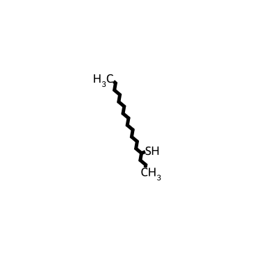 CCCCCCCCCCCCCC(S)CCC